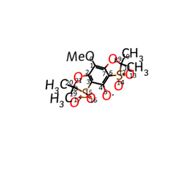 COc1c2c(c([O])c3c1OC(C)(C)S3(=O)=O)S(=O)(=O)C(C)(C)O2